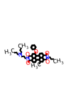 CCCCN(CCCC)CCCN1C(=O)c2ccc3c4c(C)cc5c6c(ccc(c7c(Oc8ccccc8)cc(c2c37)C1=O)c64)C(=O)N(CCCC)C5=O